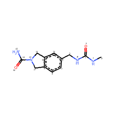 CNC(=O)NCc1ccc2c(c1)CN(C(N)=O)C2